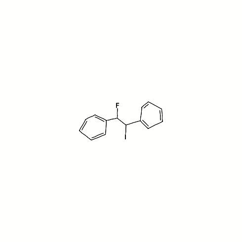 FC(c1ccccc1)C(I)c1ccccc1